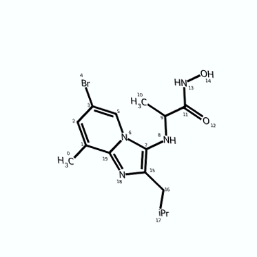 Cc1cc(Br)cn2c(NC(C)C(=O)NO)c(CC(C)C)nc12